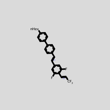 CCCCCCc1ccc(-c2ccc(/C=C/c3cc(F)c(/C=C/C(F)(F)F)c(F)c3)cc2)cc1